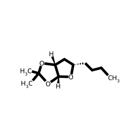 CCCC[C@H]1C[C@H]2OC(C)(C)O[C@H]2O1